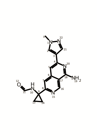 Cn1cc(-c2cc3cc(C4(NC=O)CC4)ncc3c(N)n2)cn1